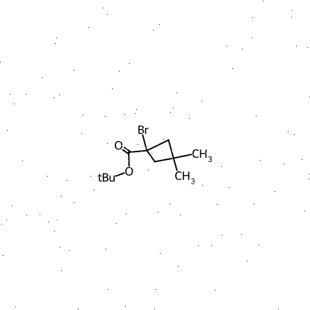 CC1(C)CC(Br)(C(=O)OC(C)(C)C)C1